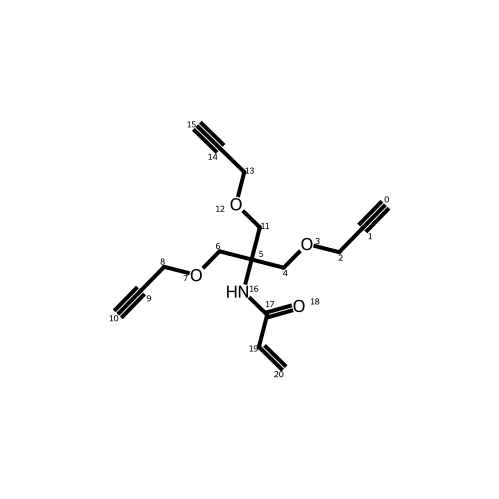 C#CCOCC(COCC#C)(COCC#C)NC(=O)C=C